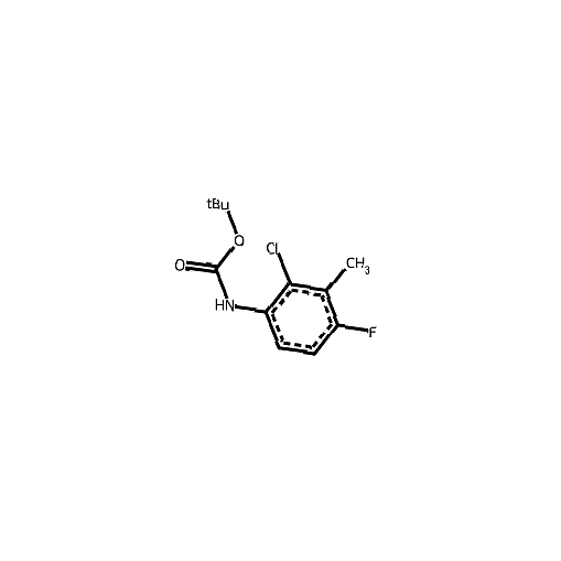 Cc1c(F)ccc(NC(=O)OC(C)(C)C)c1Cl